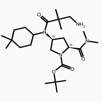 CN(C)C(=O)[C@@H]1C[C@H](N(C(=O)C(C)(C)CN)C2CCC(C)(C)CC2)CN1C(=O)OC(C)(C)C